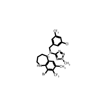 Cc1cc2c(c(Br)c1C(F)(F)F)NCCC[C@@H]2N(Cc1cc(Cl)cc(C(F)(F)F)c1)c1nnn(C)n1